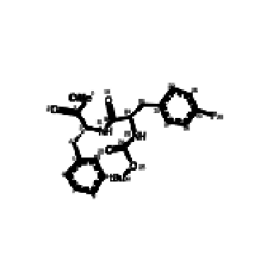 COC(=O)[C@@H](Cc1ccccc1)NC(=O)[C@@H](Cc1ccc(F)cc1)NC(=O)OC(C)(C)C